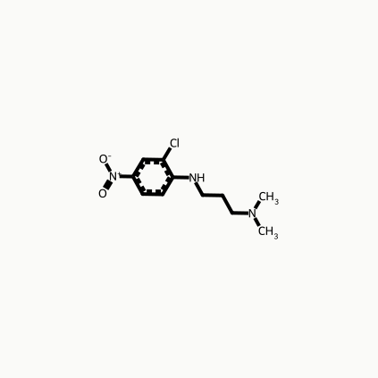 CN(C)CCCNc1ccc([N+](=O)[O-])cc1Cl